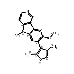 COc1cc2c3cnccc3n(Cl)c2cc1-c1c(C)noc1C